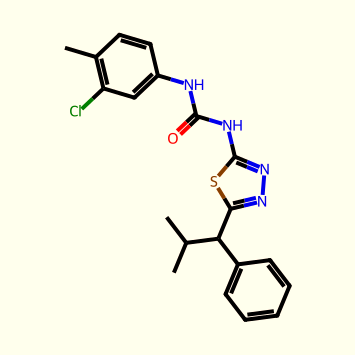 Cc1ccc(NC(=O)Nc2nnc(C(c3ccccc3)C(C)C)s2)cc1Cl